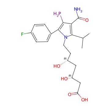 CC(C)c1c(C(N)=O)c(P)c(-c2ccc(F)cc2)n1CC[C@@H](O)C[C@@H](O)CC(=O)O